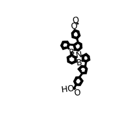 O=COc1ccc(-c2ccc3c4c2-c2ccccc2B4c2cccc4c2N3c2cccc3c2B4c2cc(-c4ccc(C(=O)O)cc4)ccc2-3)cc1